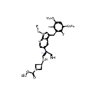 COc1cc(OC)c(F)c(Cc2cn(SF)c3ncc(/C(C=N)=C/NC4CN(C(=O)OC(C)(C)C)C4)cc23)c1F